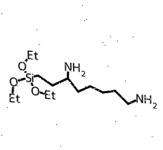 CCO[Si](CCC(N)CCCCCN)(OCC)OCC